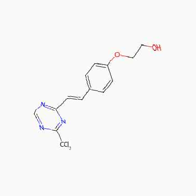 OCCOc1ccc(C=Cc2ncnc(C(Cl)(Cl)Cl)n2)cc1